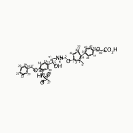 Cc1cc(OCCN[C@@H](C)[C@@H](O)c2ccc(OCc3ccccc3)c(NS(C)(=O)=O)c2)cc(C)c1-c1ccc(OCC(=O)O)cc1